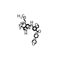 COCCNc1cc(Nc2ccc(C(=O)N3CCC(N4CCOCC4)CC3)c3c2OCC3)nc2[nH]cc(C(F)(F)F)c12